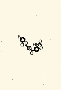 O=C1COc2ccc(C(=O)N3CC(COc4ccc(F)cc4Cl)C3)cc2N1